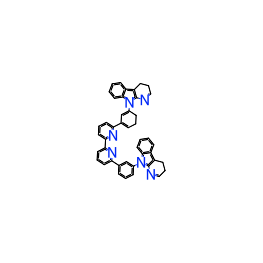 C1=Nc2c(c3ccccc3n2C2=CC(c3cccc(-c4cccc(-c5cccc(-n6c7c(c8ccccc86)CCC=N7)c5)n4)n3)=CCC2)CC1